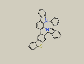 c1ccc(-n2c3ccccc3c3ccc4c5cc6c(cc5c5c7ccccc7cn5c4c32)sc2ccccc26)cc1